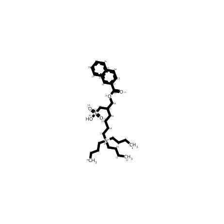 CCCC[N+](CCCC)(CCCC)CCCCC(COC(=O)c1ccc2ccccc2c1)CS(=O)(=O)O